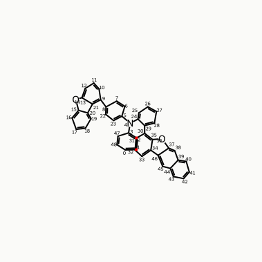 c1ccc(N(c2ccc(-c3cccc4oc5ccccc5c34)cc2)c2ccccc2-c2cccc3c2oc2cc4ccccc4cc23)cc1